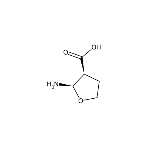 N[C@@H]1OCC[C@@H]1C(=O)O